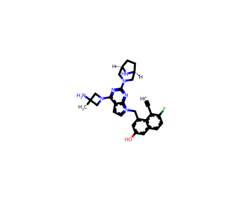 C#Cc1c(F)ccc2cc(O)cc(Cn3ccc4c(N5CC(C)(N)C5)nc(N5C[C@H]6CC[C@@H](C5)N6)nc43)c12